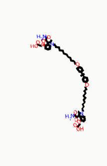 Cc1c(C(=O)C(N)=O)c2c(OCC(=O)O)cccc2n1CCCCCCCCCCCCOc1ccc(C(C)(C)c2ccc(OCCCCCCCCCCCCn3c(C)c(C(=O)C(N)=O)c4c(OCC(=O)O)cccc43)cc2)cc1